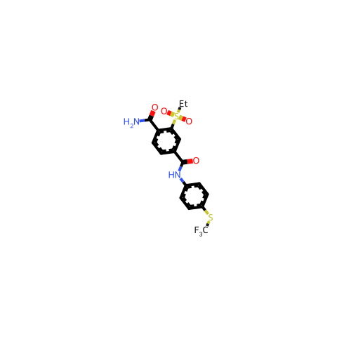 CCS(=O)(=O)c1cc(C(=O)Nc2ccc(SC(F)(F)F)cc2)ccc1C(N)=O